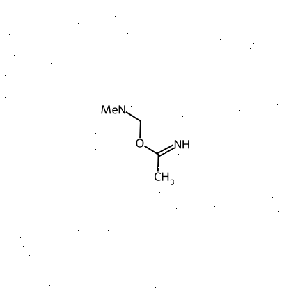 CNCOC(C)=N